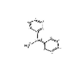 C[SiH](c1ccccc1)c1ccccc1